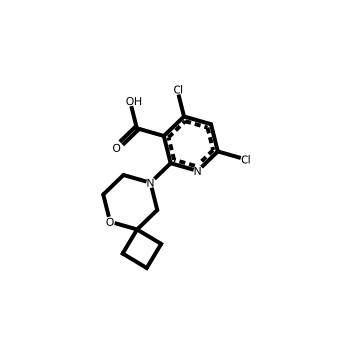 O=C(O)c1c(Cl)cc(Cl)nc1N1CCOC2(CCC2)C1